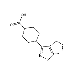 O=C(O)C1CCC(c2noc3c2CCC3)CC1